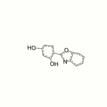 Oc1ccc(-c2nc3ccccc3o2)c(O)c1